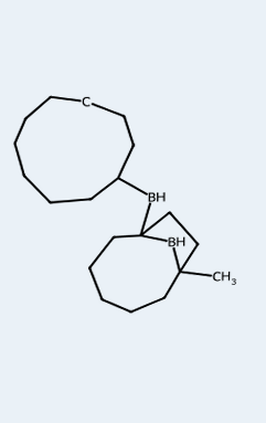 CC12BC(BC3CCCCCCCCC3)(CCCCC1)CC2